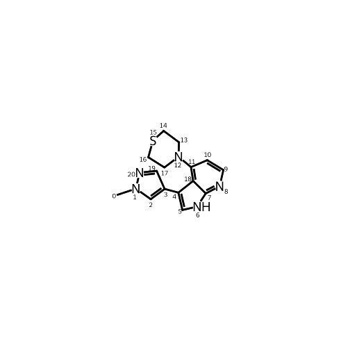 Cn1cc(-c2c[nH]c3nccc(N4CCSCC4)c23)cn1